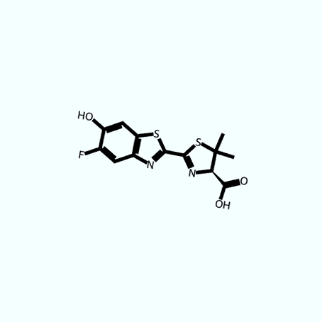 CC1(C)SC(c2nc3cc(F)c(O)cc3s2)=N[C@@H]1C(=O)O